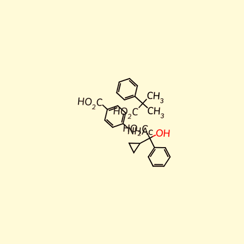 CC(=O)Nc1ccc(C(=O)O)cc1.CC(C)(C(=O)O)c1ccccc1.O=C(O)C(O)(c1ccccc1)C1CC1